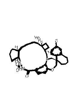 O=C1NS(=O)(=O)[C@@H]2CCC[C@H]2CCC[C@H](O)[C@@H]2CC[C@H]2CN2C[C@@]3(CCCc4cc(Cl)ccc43)COc3ccc1cc32